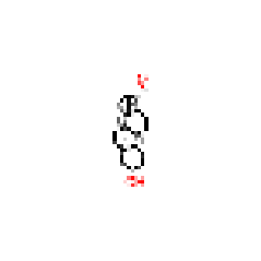 C[C@]12CC[C@H]3[C@@H](CC=C4C[C@@H](O)CC[C@@]43C)[C@@H]1CC[C@@H]2C=O